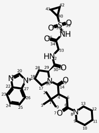 CC(C)(C)C(CC(=O)N1CCCCC1)C(=O)N1C[C@H](n2cnc3ccccc32)C[C@H]1C(=O)NCC(=O)NS(=O)(=O)C1CC1